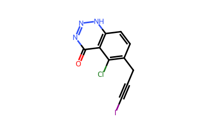 O=c1nn[nH]c2ccc(CC#CI)c(Cl)c12